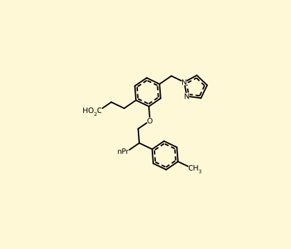 CCCC(COc1cc(Cn2cccn2)ccc1CCC(=O)O)c1ccc(C)cc1